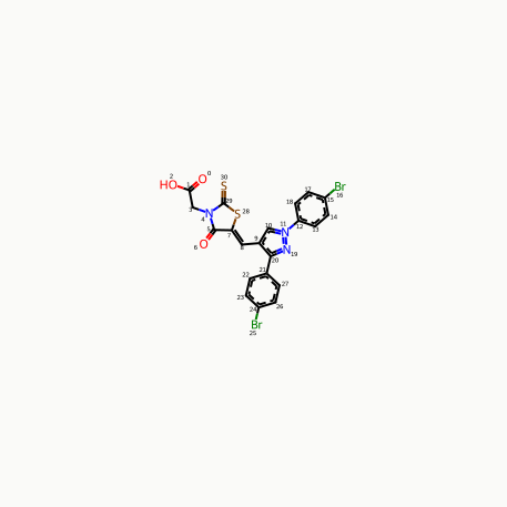 O=C(O)CN1C(=O)C(=Cc2cn(-c3ccc(Br)cc3)nc2-c2ccc(Br)cc2)SC1=S